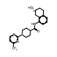 O=C(Nc1cccc2c1C[C@H](O)CC2)C1CCN(c2nccc(C(F)(F)F)n2)CC1